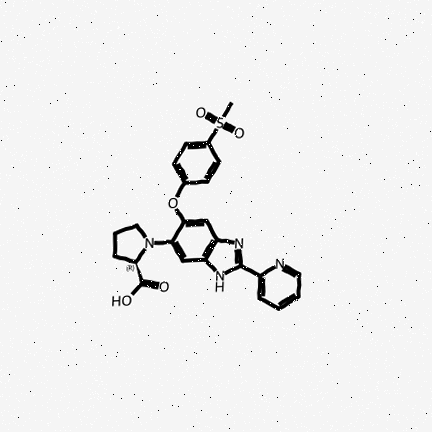 CS(=O)(=O)c1ccc(Oc2cc3nc(-c4ccccn4)[nH]c3cc2N2CCC[C@@H]2C(=O)O)cc1